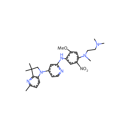 COc1cc(N(C)CCN(C)C)c([N+](=O)[O-])cc1Nc1cc(N2CC(C)(C)c3nc(C)ccc32)ccn1